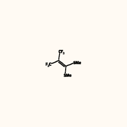 CSC(SC)=C(C(F)(F)F)C(F)(F)F